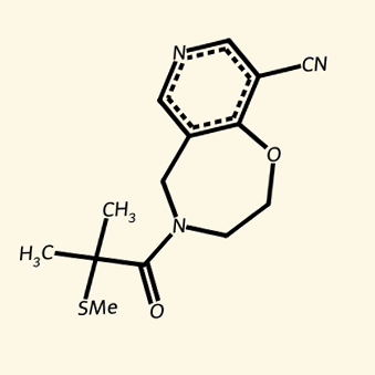 CSC(C)(C)C(=O)N1CCOc2c(C#N)cncc2C1